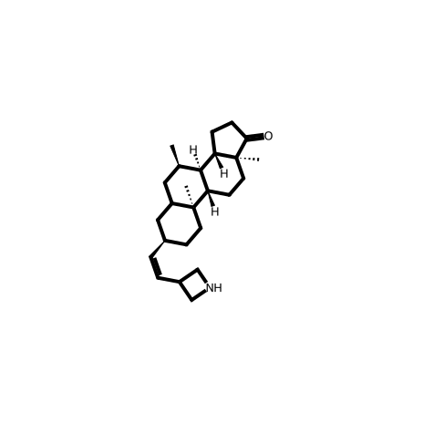 C[C@@H]1CC2C[C@H](/C=C\C3CNC3)CC[C@]2(C)[C@H]2CC[C@]3(C)C(=O)CC[C@H]3[C@H]12